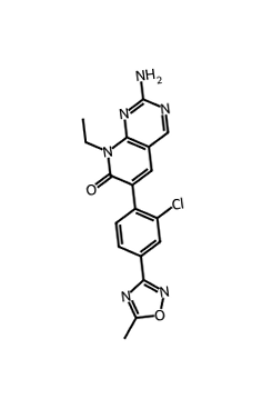 CCn1c(=O)c(-c2ccc(-c3noc(C)n3)cc2Cl)cc2cnc(N)nc21